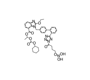 CCOc1nc2cccc(C(=O)OC(C)OC(=O)OC3CCCCC3)c2n1Cc1ccc(-c2ccccc2-c2nnn(C(=O)CCCON(O)O)n2)cc1